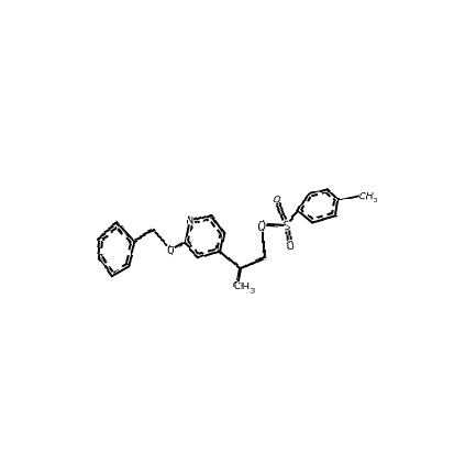 Cc1ccc(S(=O)(=O)OCC(C)c2ccnc(OCc3ccccc3)c2)cc1